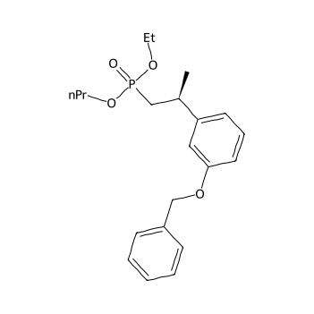 CCCOP(=O)(C[C@@H](C)c1cccc(OCc2ccccc2)c1)OCC